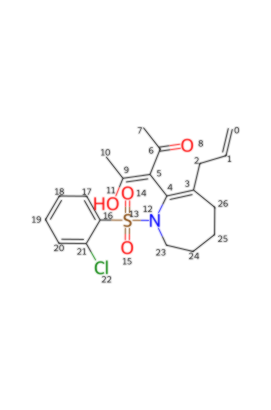 C=CCC1=C(C(C(C)=O)=C(C)O)N(S(=O)(=O)c2ccccc2Cl)CCCC1